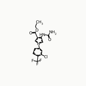 CCOC(=O)c1cn(-c2ccc(C(F)(F)F)c(Cl)c2)cc1NC(N)=O